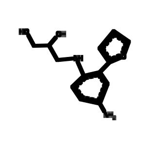 Nc1ccc(NCC(O)CO)c(-c2ccco2)c1